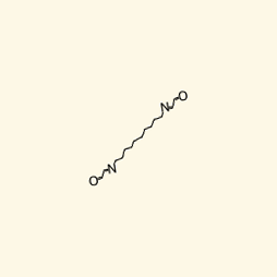 O=CC=NCCCCCCCCCCN=CC=O